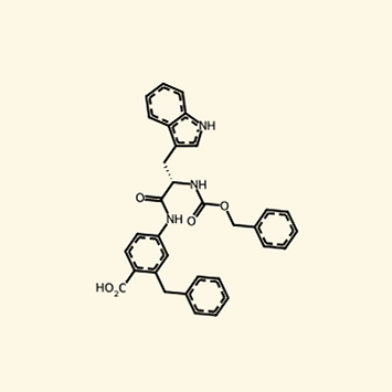 O=C(N[C@@H](Cc1c[nH]c2ccccc12)C(=O)Nc1ccc(C(=O)O)c(Cc2ccccc2)c1)OCc1ccccc1